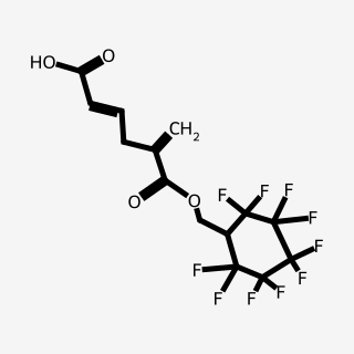 C=C(CC=CC(=O)O)C(=O)OCC1C(F)(F)C(F)(F)C(F)(F)C(F)(F)C1(F)F